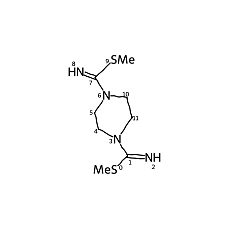 CSC(=N)N1CCN(C(=N)SC)CC1